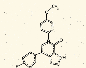 O=c1c2[nH]ncc2c(-c2ccc(F)cc2)cn1-c1ccc(OC(F)(F)F)cc1